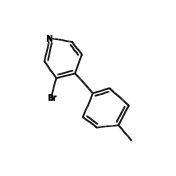 Cc1ccc(-c2ccncc2Br)cc1